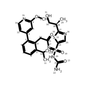 COc1cc(-c2cccc(C(C)C)c2CC(=O)N=S(=O)(NC(N)=O)c2cnc([C@H](C)CO)s2)ccn1